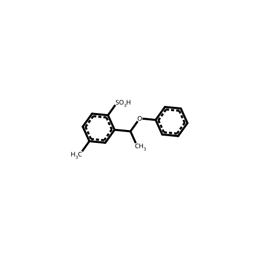 Cc1ccc(S(=O)(=O)O)c(C(C)Oc2ccccc2)c1